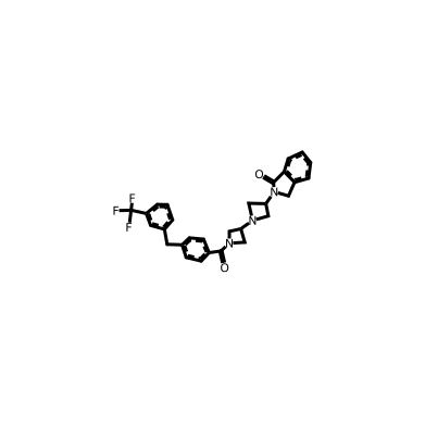 O=C(c1ccc(Cc2cccc(C(F)(F)F)c2)cc1)N1CC(N2CC(N3Cc4ccccc4C3=O)C2)C1